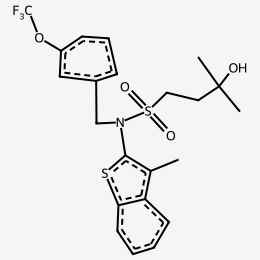 Cc1c(N(Cc2cccc(OC(F)(F)F)c2)S(=O)(=O)CCC(C)(C)O)sc2ccccc12